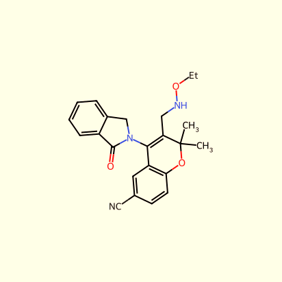 CCONCC1=C(N2Cc3ccccc3C2=O)c2cc(C#N)ccc2OC1(C)C